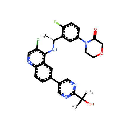 C[C@@H](Nc1c(Cl)cnc2ccc(-c3cnc(C(C)(C)O)nc3)cc12)c1cc(N2CCOCC2=O)ccc1F